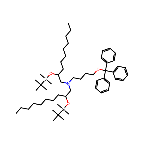 CCCCCCCCC(CN(CCCCOC(c1ccccc1)(c1ccccc1)c1ccccc1)CC(CCCCCCCC)O[Si](C)(C)C(C)(C)C)O[Si](C)(C)C(C)(C)C